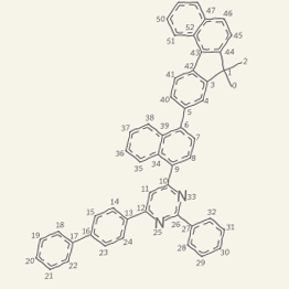 CC1(C)c2cc(-c3ccc(-c4cc(-c5ccc(-c6ccccc6)cc5)nc(-c5ccccc5)n4)c4ccccc34)ccc2-c2c1ccc1ccccc21